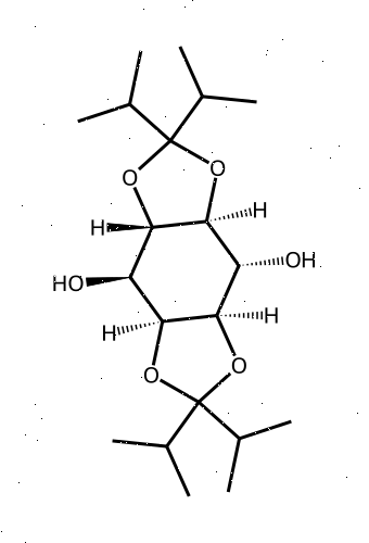 CC(C)C1(C(C)C)O[C@@H]2[C@@H](O)[C@@H]3OC(C(C)C)(C(C)C)O[C@H]3[C@H](O)[C@@H]2O1